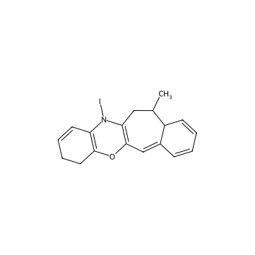 CC1CC2=C(C=C3C=CC=CC31)OC1=C(C=CCC1)N2I